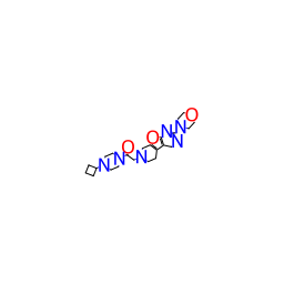 O=C(CN1CCc2c(oc3nc(N4CCOCC4)ncc23)C1)N1CCN(C2CCC2)CC1